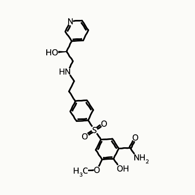 COc1cc(S(=O)(=O)c2ccc(CCNC[C@@H](O)c3cccnc3)cc2)cc(C(N)=O)c1O